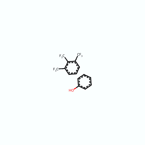 FC(F)(F)c1cccc(C(F)(F)F)c1C(F)(F)F.Oc1ccccc1